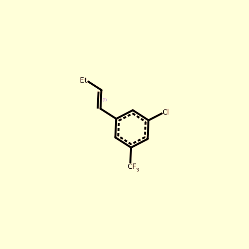 CC/C=C/c1cc(Cl)cc(C(F)(F)F)c1